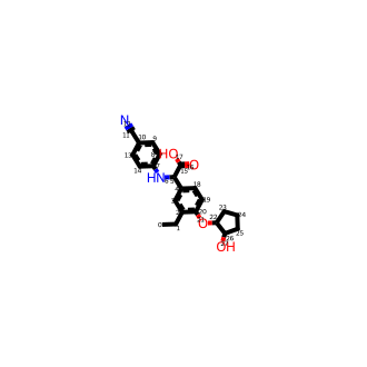 CCc1cc(C(Nc2ccc(C#N)cc2)C(=O)O)ccc1OC1CCCC1O